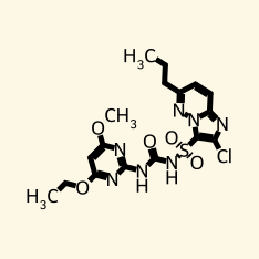 CCCc1ccc2nc(Cl)c(S(=O)(=O)NC(=O)Nc3nc(OC)cc(OCC)n3)n2n1